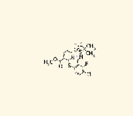 COC(=O)c1cccnc1Sc1ccc(Cl)c(F)c1/C=N/[S+]([O-])C(C)(C)C